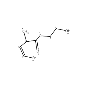 CC(C)/C=C\C(C)C(=O)OCCO